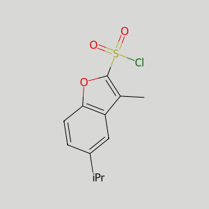 Cc1c(S(=O)(=O)Cl)oc2ccc(C(C)C)cc12